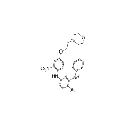 CC(=O)c1ccc(Nc2ccc(OCCN3CCOCC3)cc2[N+](=O)[O-])nc1Nc1ccccc1